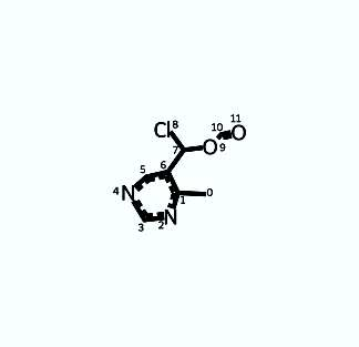 Cc1ncncc1C(Cl)OC=O